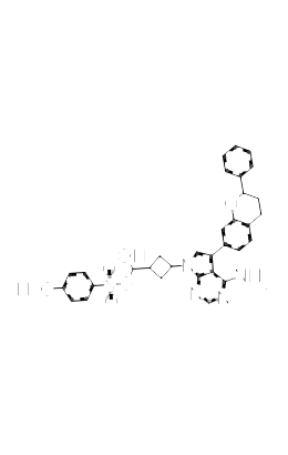 Cc1ccc(S(=O)(=O)OC(O)C2CC(n3cc(-c4ccc5c(c4)OC(c4ccccc4)CC5)c4c(N)ncnc43)C2)cc1